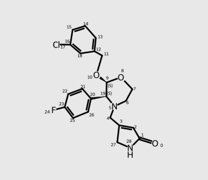 O=C1C=C(CN2CCO[C@H](OCc3cccc(Cl)c3)[C@@H]2c2ccc(F)cc2)CN1